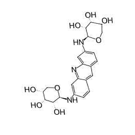 O[C@@H]1[C@H](O)[C@H](O)CO[C@H]1Nc1ccc2cc3ccc(N[C@@H]4OC[C@@H](O)[C@@H](O)[C@H]4O)cc3nc2c1